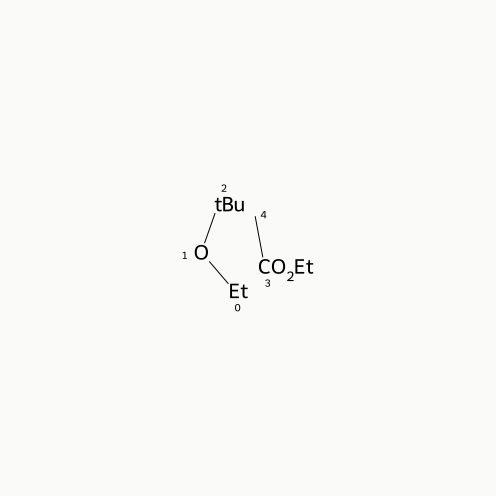 CCOC(C)(C)C.CCOC(C)=O